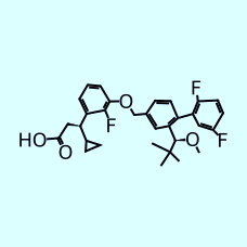 CO[C@H](c1cc(COc2cccc([C@H](CC(=O)O)C3CC3)c2F)ccc1-c1cc(F)ccc1F)C(C)(C)C